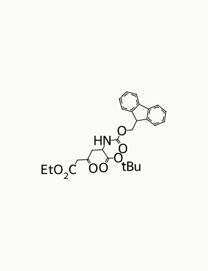 CCOC(=O)CC(=O)CC(NC(=O)OCC1c2ccccc2-c2ccccc21)C(=O)OC(C)(C)C